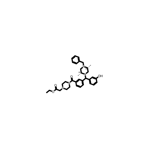 CCOC(=O)CN1CCN(C(=O)c2cccc(C(c3cccc(O)c3)N3C[C@@H](C)N(Cc4ccccc4)C[C@H]3C)c2)CC1